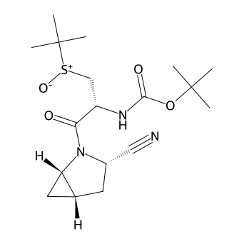 CC(C)(C)OC(=O)N[C@@H](C[S+]([O-])C(C)(C)C)C(=O)N1[C@H](C#N)C[C@@H]2C[C@@H]21